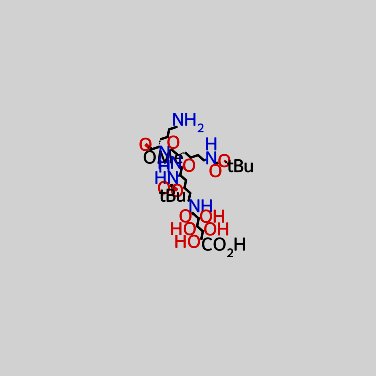 COC(=O)[C@H](CCCCN)NC(=O)[C@H](CCCCNC(=O)OC(C)(C)C)NC(=O)C(CCCCNC(=O)[C@@H](O)[C@H](O)[C@H](O)[C@@H](O)C(=O)O)NC(=O)OC(C)(C)C